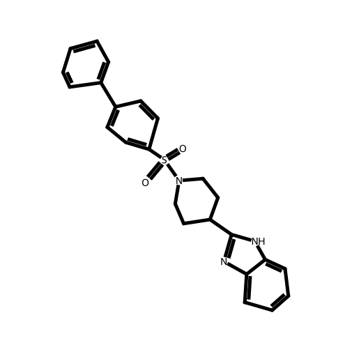 O=S(=O)(c1ccc(-c2ccccc2)cc1)N1CCC(c2nc3ccccc3[nH]2)CC1